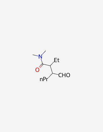 CCCC(C=O)C(CC)C(=O)N(C)C